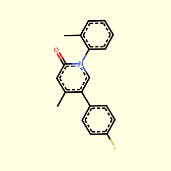 Cc1cc(=O)n(-c2ccccc2C)cc1-c1ccc(F)cc1